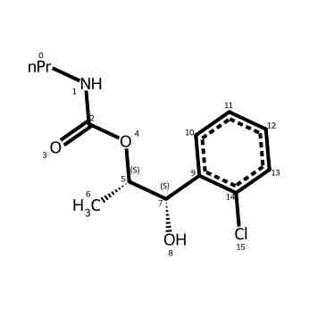 CCCNC(=O)O[C@@H](C)[C@@H](O)c1ccccc1Cl